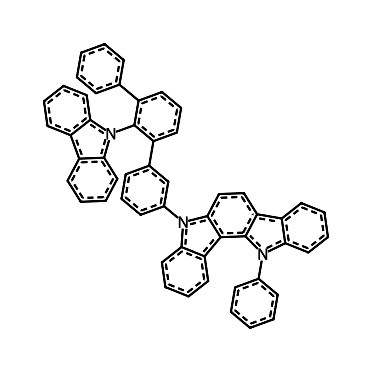 c1ccc(-c2cccc(-c3cccc(-n4c5ccccc5c5c4ccc4c6ccccc6n(-c6ccccc6)c45)c3)c2-n2c3ccccc3c3ccccc32)cc1